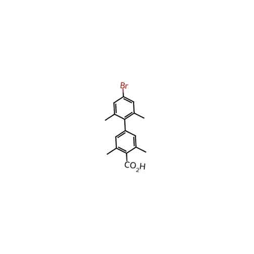 Cc1cc(-c2c(C)cc(Br)cc2C)cc(C)c1C(=O)O